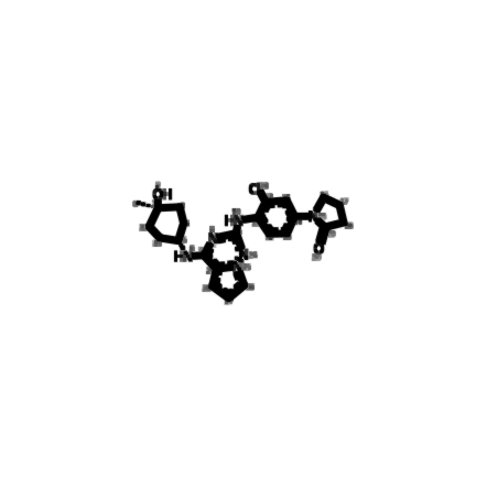 C[C@]1(O)CC[C@H](Nc2nc(Nc3ccc(N4CCCC4=O)cc3Cl)nn3cccc23)CC1